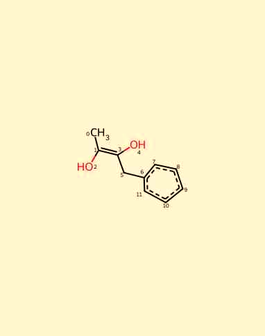 C/C(O)=C(\O)Cc1ccccc1